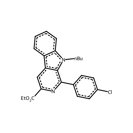 CCCCn1c2ccccc2c2cc(C(=O)OCC)nc(-c3ccc(Cl)cc3)c21